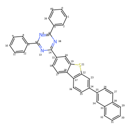 c1ccc(-c2nc(-c3ccccc3)nc(-c3ccc4c(c3)sc3cc(-c5ccc6ccccc6c5)ccc34)n2)cc1